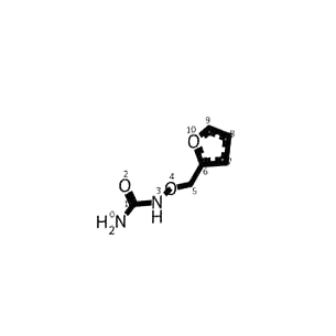 NC(=O)NOCc1ccco1